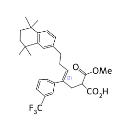 COC(=O)C(C/C(=C/CCc1ccc2c(c1)C(C)(C)CCC2(C)C)c1cccc(C(F)(F)F)c1)C(=O)O